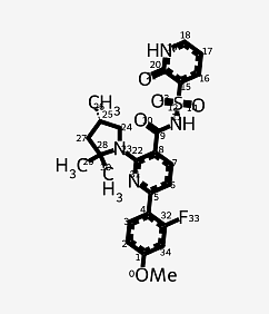 COc1ccc(-c2ccc(C(=O)NS(=O)(=O)c3ccc[nH]c3=O)c(N3C[C@@H](C)CC3(C)C)n2)c(F)c1